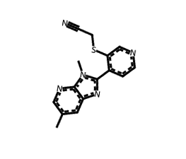 Cc1cnc2c(c1)nc(-c1ccncc1SCC#N)n2C